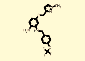 Cn1ccc(COc2ccc(N)c(NCc3ccc(OC(F)(F)F)cc3)c2)n1